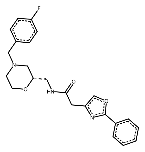 O=C(Cc1coc(-c2ccccc2)n1)NC[C@H]1CN(Cc2ccc(F)cc2)CCO1